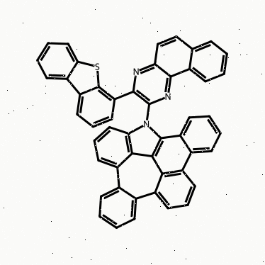 c1ccc2c(c1)-c1cccc3c4ccccc4c4c(c13)c1c-2cccc1n4-c1nc2c(ccc3ccccc32)nc1-c1cccc2c1sc1ccccc12